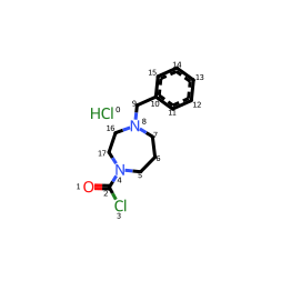 Cl.O=C(Cl)N1CCCN(Cc2ccccc2)CC1